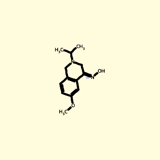 COc1ccc2c(c1)/C(=N/O)CN(C(C)C)C2